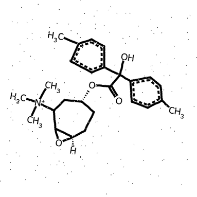 Cc1ccc(C(O)(C(=O)O[C@@H]2CC[C@H]3OC3C([N+](C)(C)C)C2)c2ccc(C)cc2)cc1